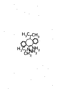 CC(C)C1Cc2ccccc2/C(N(N)C(C)C)=C(/N)c2ccccc21